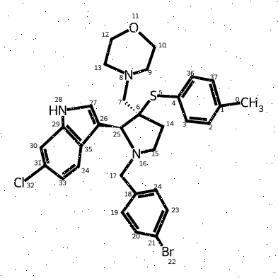 Cc1ccc(S[C@@]2(CN3CCOCC3)CCN(Cc3ccc(Br)cc3)[C@H]2c2c[nH]c3cc(Cl)ccc23)cc1